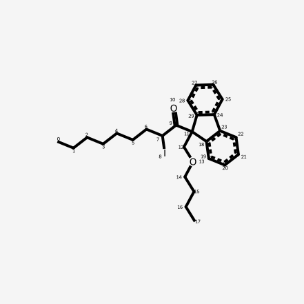 CCCCCCCC(I)C(=O)C1(COCCCC)c2ccccc2-c2ccccc21